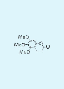 COc1cc2c(c(OC)c1OC)CCC(=O)O2